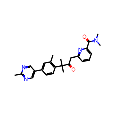 Cc1ncc(-c2ccc(C(C)(C)C(=O)Cc3cccc(C(=O)N(C)C)n3)c(C)c2)cn1